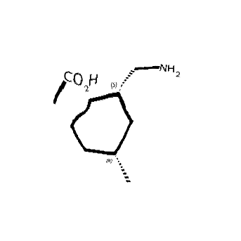 CC(=O)O.C[C@@H]1CCC[C@H](CN)C1